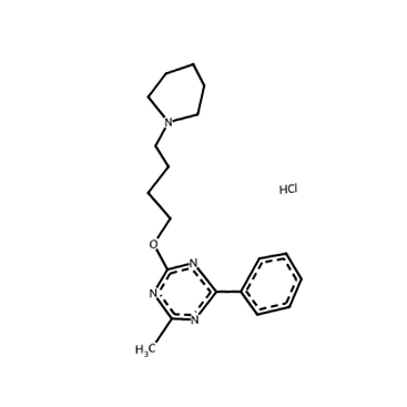 Cc1nc(OCCCCN2CCCCC2)nc(-c2ccccc2)n1.Cl